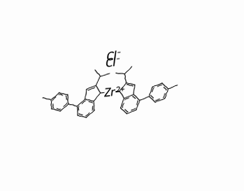 Cc1ccc(-c2cccc3c2C=C(C(C)C)[CH]3[Zr+2][CH]2C(C(C)C)=Cc3c(-c4ccc(C)cc4)cccc32)cc1.[Cl-].[Cl-]